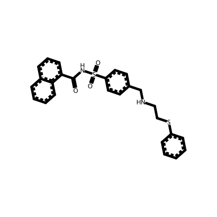 O=C(NS(=O)(=O)c1ccc(CNCCSc2ccccc2)cc1)c1cccc2ccccc12